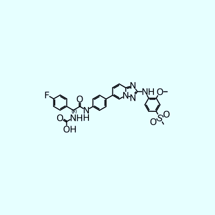 COc1cc(S(C)(=O)=O)ccc1Nc1nc2ccc(-c3ccc(NC(=O)[C@H](NC(=O)O)c4ccc(F)cc4)cc3)cn2n1